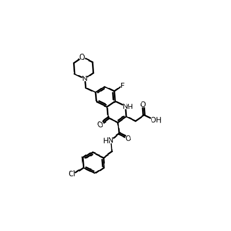 O=C(O)Cc1[nH]c2c(F)cc(CN3CCOCC3)cc2c(=O)c1C(=O)NCc1ccc(Cl)cc1